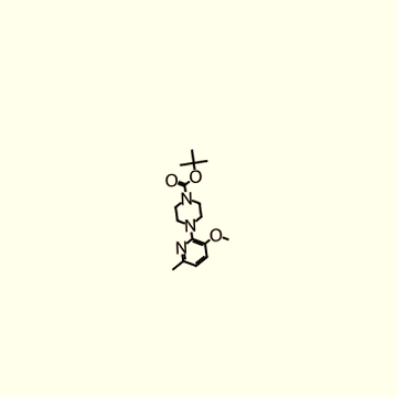 COc1ccc(C)nc1N1CCN(C(=O)OC(C)(C)C)CC1